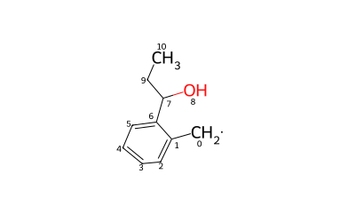 [CH2]c1ccccc1C(O)CC